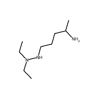 CCN(CC)NCCCC(C)N